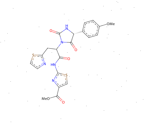 COC(=O)c1csc(NC(=O)C(Cc2nccs2)N2C(=O)N[C@H](c3ccc(OC)cc3)C2=O)n1